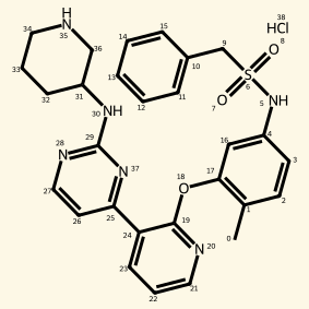 Cc1ccc(NS(=O)(=O)Cc2ccccc2)cc1Oc1ncccc1-c1ccnc(NC2CCCNC2)n1.Cl